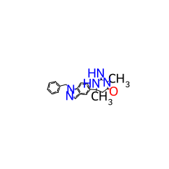 CN1C(=N)NC(C)(c2ccc3c(cnn3Cc3ccccc3)c2)CC1=O